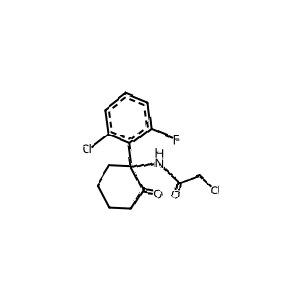 O=C(CCl)NC1(c2c(F)cccc2Cl)CCCCC1=O